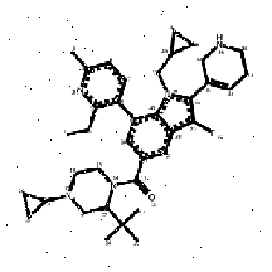 CCc1nc(C)ccc1-c1cc(C(=O)N2CCN(C3CC3)CC2C(C)(C)C)cc2c(F)c(C3=CCCNC3)n(CC3CC3)c12